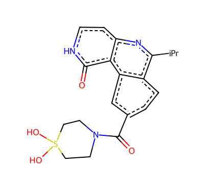 CC(C)c1nc2cc[nH]c(=O)c2c2cc(C(=O)N3CCS(O)(O)CC3)ccc12